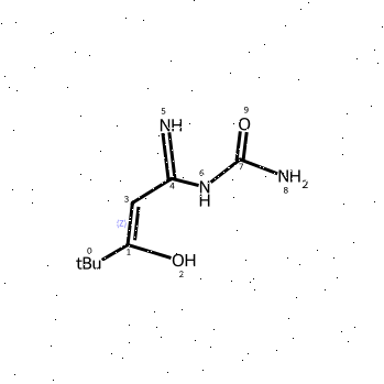 CC(C)(C)/C(O)=C/C(=N)NC(N)=O